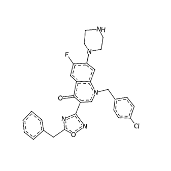 O=c1c(-c2noc(Cc3ccccc3)n2)cn(Cc2ccc(Cl)cc2)c2cc(N3CCNCC3)c(F)cc12